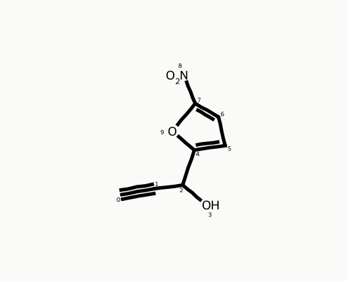 C#CC(O)c1ccc([N+](=O)[O-])o1